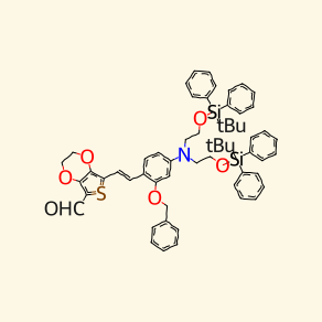 CC(C)(C)[Si](OCCN(CCO[Si](c1ccccc1)(c1ccccc1)C(C)(C)C)c1ccc(C=Cc2sc(C=O)c3c2OCCO3)c(OCc2ccccc2)c1)(c1ccccc1)c1ccccc1